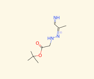 C/C(C=N)=N/NCC(=O)OC(C)(C)C